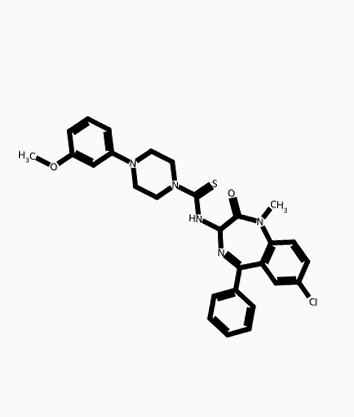 COc1cccc(N2CCN(C(=S)NC3N=C(c4ccccc4)c4cc(Cl)ccc4N(C)C3=O)CC2)c1